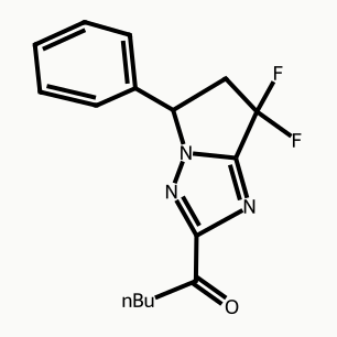 CCCCC(=O)c1nc2n(n1)C(c1ccccc1)CC2(F)F